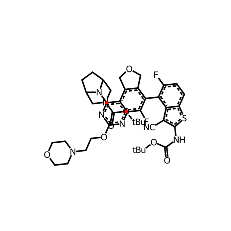 CC(C)(C)OC(=O)Nc1sc2ccc(F)c(-c3c4c(c5c(N6C7CCC6CN(C(=O)OC(C)(C)C)C7)nc(OCCN6CCOCC6)nc5c3F)COC4)c2c1C#N